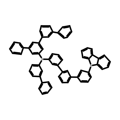 c1ccc(-c2cccc(-c3cc(-c4ccccc4)cc(N(c4cccc(-c5ccccc5)c4)c4cccc(-c5cccc(-c6cccc(-n7c8ccccc8c8ccccc87)c6)c5)c4)c3)c2)cc1